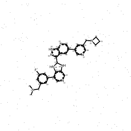 CN(C)Cc1cc(F)cc(-c2cncc3c2NC(c2n[nH]c4ncc(-c5cncc(CN6CCC6)c5)cc24)N3)c1